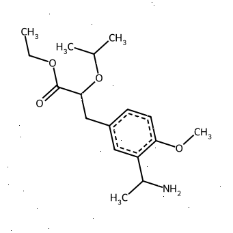 CCOC(=O)C(Cc1ccc(OC)c(C(C)N)c1)OC(C)C